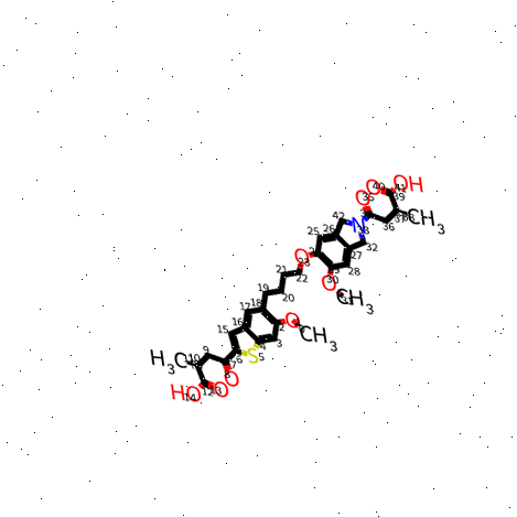 COc1cc2sc(C(=O)C[C@H](C)C(=O)O)cc2cc1CCCCOc1cc2c(cc1OC)CN(C(=O)C[C@H](C)C(=O)O)C2